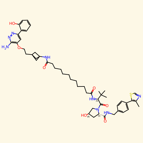 Cc1ncsc1-c1ccc(CNC(=O)[C@@H]2C[C@@H](O)CN2C(=O)[C@@H](NC(=O)CCCCCCCCCCC(=O)NC23CC(CCOc4cc(-c5ccccc5O)nnc4N)(C2)C3)C(C)(C)C)cc1